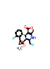 COC(=O)C1=C(CF)NC2=C(C(=O)OC2)[C@@H]1c1cccc(F)c1C1CC1